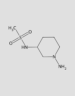 CS(=O)(=O)NC1CCCN(N)C1